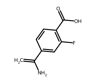 C=C(N)c1ccc(C(=O)O)c(F)c1